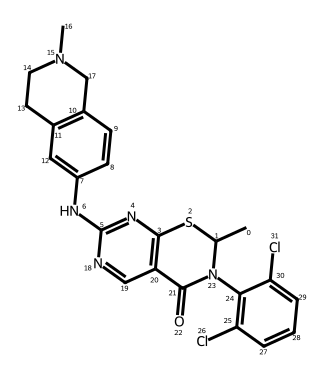 CC1Sc2nc(Nc3ccc4c(c3)CCN(C)C4)ncc2C(=O)N1c1c(Cl)cccc1Cl